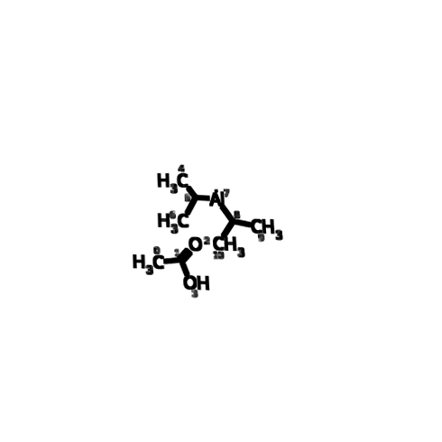 CC(=O)O.C[CH](C)[Al][CH](C)C